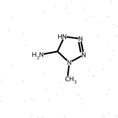 CN1N=NNC1N